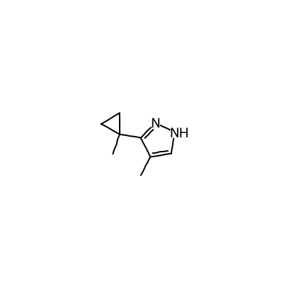 Cc1c[nH]nc1C1(C)CC1